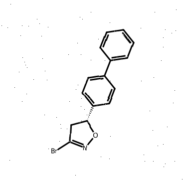 BrC1=NO[C@@H](c2ccc(-c3ccccc3)cc2)C1